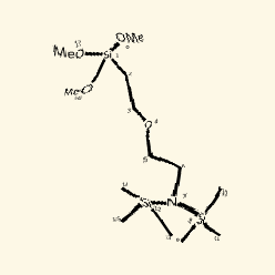 CO[Si](CCOCCN([Si](C)(C)C)[Si](C)(C)C)(OC)OC